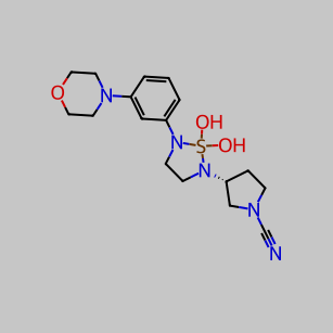 N#CN1CC[C@@H](N2CCN(c3cccc(N4CCOCC4)c3)S2(O)O)C1